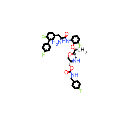 C[C@H](Oc1c(F)cccc1NC(=O)[C@@H](N)Cc1ccc(F)c(-c2ccc(F)cc2)c1)[C@@H]1CN[C@H](COC(=O)NCc2ccc(F)cc2)CO1